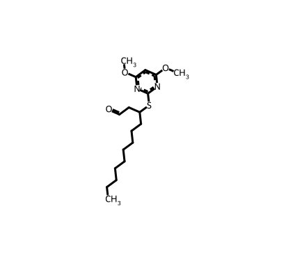 CCCCCCCCCC(CC=O)Sc1nc(OC)cc(OC)n1